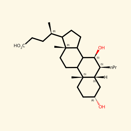 CCC[C@@H]1[C@H](O)C2C3CCC([C@H](C)CCC(=O)O)[C@@]3(C)CCC2[C@@]2(C)CC[C@@H](O)C[C@@H]12